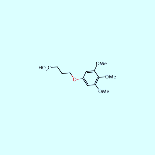 COc1cc(OCCCC(=O)O)cc(OC)c1OC